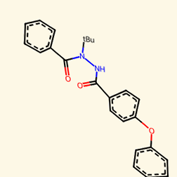 CC(C)(C)N(NC(=O)c1ccc(Oc2ccccc2)cc1)C(=O)c1ccccc1